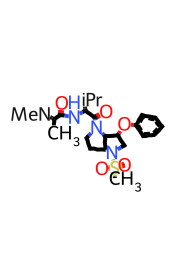 CNC(C)C(=O)NC(C(=O)N1CCC2C1C(Oc1ccccc1)CN2S(C)(=O)=O)C(C)C